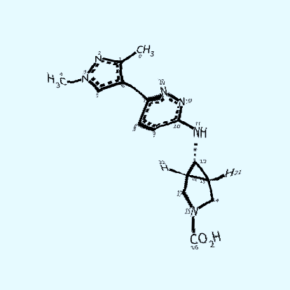 Cc1nn(C)cc1-c1ccc(N[C@@H]2[C@@H]3CN(C(=O)O)C[C@@H]32)nn1